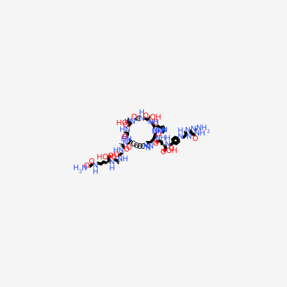 C[C@H](NC(=O)CNC(=O)[C@H](C)NC(=O)[C@@H]1CCCCn2cc(nn2)C[C@H](NC(=O)CC[C@H](NC(=O)c2ccc(NCc3cnc4nc(N)[nH]c(=O)c4n3)cc2)C(=O)O)C(=O)N[C@H](Cc2cnc[nH]2)C(=O)N[C@H](CO)C(=O)NCC(=O)N[C@H]([C@H](C)O)C(=O)N[C@H](C)C(=O)N1)C(=O)N[C@@H](CCCCNC(=O)CON)C(=O)O